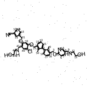 Cc1c(COc2ccc(CNCCO)cn2)cccc1-c1cccc(COc2cc(OCc3cncc(C#N)c3)c(CNCCO)cc2Cl)c1C